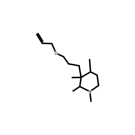 C=CCOCCCC1(C)C(C)CCN(C)C1C